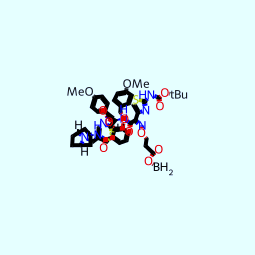 BOC(=O)CCO/N=C(\C(=O)N[C@@H]1C(=O)N2C=C(C[N@+]3(C)[C@@H]4CC[C@H]3C[C@@H](NC(=O)c3cccc(OCc5ccc(OC)cc5)c3OCc3ccc(OC)cc3)C4)CS[C@H]12)c1csc(NC(=O)OC(C)(C)C)n1